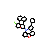 Fc1ccccc1-c1cccc2cccc(-c3cccc(N(c4cccc(-c5ccccc5)c4)c4cccc5oc6ccccc6c45)c3)c12